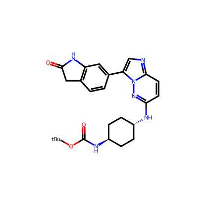 CC(C)(C)OC(=O)N[C@H]1CC[C@H](Nc2ccc3ncc(-c4ccc5c(c4)NC(=O)C5)n3n2)CC1